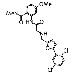 CNC(=O)c1ccc(OC)cc1NC(=O)CNCc1ccc(-c2cc(Cl)ccc2Cl)o1